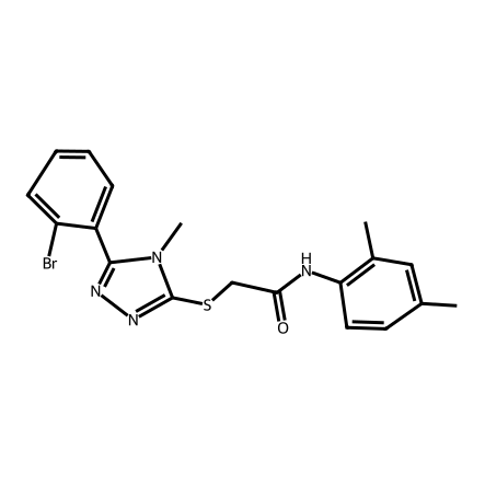 Cc1ccc(NC(=O)CSc2nnc(-c3ccccc3Br)n2C)c(C)c1